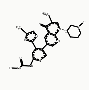 CCNC(=O)Nc1cc(-c2nc(C(F)(F)F)cs2)c(-c2cnc3c(c2)c(=O)c(C(=O)O)cn3[C@H]2CCCN(CC)C2)cn1